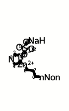 C1=NC=NC1.CCCCCCCCCCC[CH2][Zn+2].O=S(=O)([O-])[O-].[NaH]